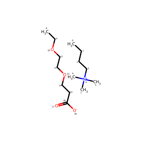 CCCC[N+](C)(C)C.CCOCCOCCC(=O)[O-]